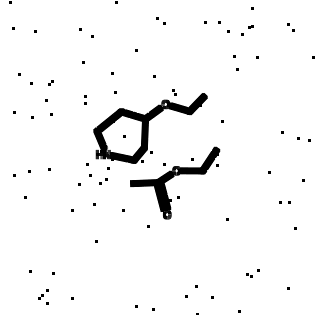 CCOC(C)=O.CCOC1CCNCC1